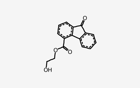 O=C(OCCO)c1cccc2c1-c1ccccc1C2=O